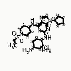 CCS(=O)(=O)N1CCC(Nc2nc(NC3CCC(N)CC3)nc3c2ncn3C2CCCC2)CC1.Cl.Cl